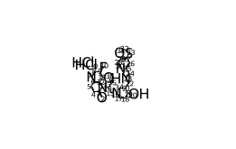 Cl.Cl.O=c1ccc2ncc(F)c3c2n1[C@H](CN1CCC(O)C(CNCc2cc4c(cn2)OCS4)C1)CO3